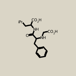 CC(C)CC(NC(=O)C(Cc1ccccc1)NCC(=O)O)C(=O)O